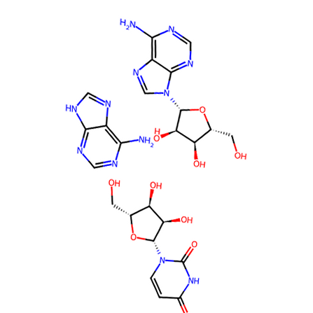 Nc1ncnc2[nH]cnc12.Nc1ncnc2c1ncn2[C@@H]1O[C@H](CO)[C@@H](O)[C@H]1O.O=c1ccn([C@@H]2O[C@H](CO)[C@@H](O)[C@H]2O)c(=O)[nH]1